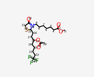 COC(=O)CCCCCCN1C(=O)CSC1CCC(CCCCC(F)(F)F)OC(C)=O